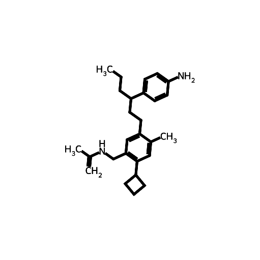 C=C(C)NCc1cc(CCC(CCC)c2ccc(N)cc2)c(C)cc1C1CCC1